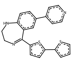 c1csc(-c2ccc(C3=NCCNc4ccc(-c5ccncc5)cc43)s2)c1